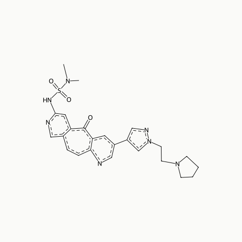 CN(C)S(=O)(=O)Nc1cc2c(=O)c3cc(-c4cnn(CCN5CCCC5)c4)cnc3ccc2cn1